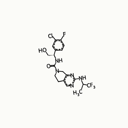 CC(Nc1ncc2c(n1)CN(C(=O)N[C@H](CO)c1ccc(F)c(Cl)c1)CC2)C(F)(F)F